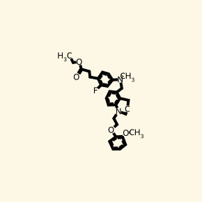 CCOC(=O)CCc1ccc(N(C)Cc2cccc3c2CCCN3CCOc2ccccc2OC)cc1F